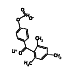 Cc1cc(C)c(C(=O)c2ccc(O[PH](=O)[O-])cc2)c(C)c1.[Li+]